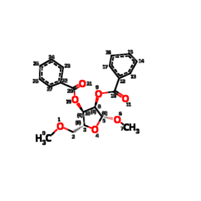 COC[C@H]1O[C@@H](OC)[C@H](OC(=O)c2ccccc2)[C@@H]1OC(=O)c1ccccc1